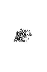 COc1cc(N(C)CCN(C)C)c(N)cc1Nc1nccc(-n2c(=O)n(C(C)C)c3cc(O)ccc32)n1